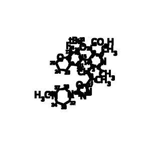 C/C(=C\c1c(C)nc(C)c([C@H](OC(C)(C)C)C(=O)O)c1-c1cc(F)c2c(c1C)CCCO2)c1nnc(N2CCCN(C)CC2)o1